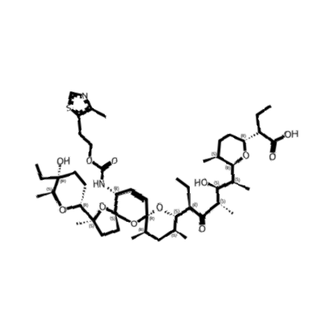 CCC(C(=O)O)[C@H]1CC[C@H](C)[C@H]([C@@H](C)[C@H](O)[C@H](C)C(=O)[C@H](CC)[C@H]2O[C@]3(C=C[C@@H](NC(=O)OCCc4scnc4C)[C@]4(CC[C@@](C)([C@H]5CC[C@](O)(CC)[C@H](C)O5)O4)O3)[C@H](C)C[C@@H]2C)O1